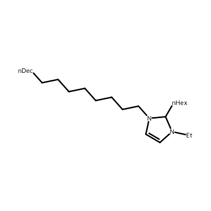 CCCCCCCCCCCCCCCCCCN1C=CN(CC)C1CCCCCC